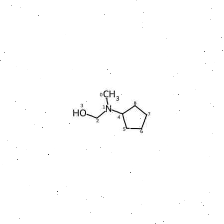 CN(CO)C1CCCC1